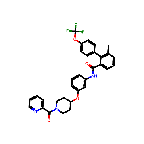 Cc1cccc(C(=O)Nc2cccc(OC3CCN(C(=O)c4ccccn4)CC3)c2)c1-c1ccc(OC(F)(F)F)cc1